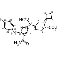 N#CCC(C1CCN(C(=O)O)C(C2CCC2)C1)n1cc(C(N)=O)c(Nc2ccc(F)cc2)n1